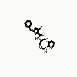 O=C(N[C@@H]1COCNc2ncccc2OC1)c1nn(Cc2ccccc2)cc1F